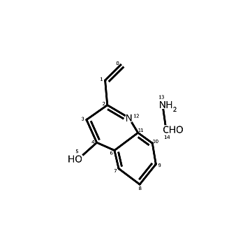 C=Cc1cc(O)c2ccccc2n1.NC=O